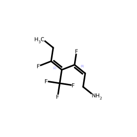 CC/C(F)=C(\C(F)=C/CN)C(F)(F)F